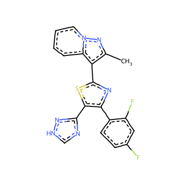 Cc1nn2ccccc2c1-c1nc(-c2ccc(F)cc2F)c(-c2nc[nH]n2)s1